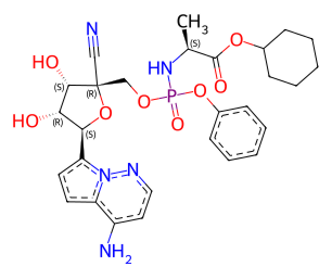 C[C@H](NP(=O)(OC[C@@]1(C#N)O[C@@H](c2ccc3c(N)ccnn23)[C@H](O)[C@@H]1O)Oc1ccccc1)C(=O)OC1CCCCC1